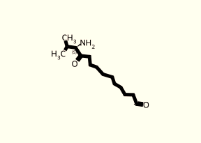 CC(C)[C@H](N)C(=O)CCCCCCCCC[C]=O